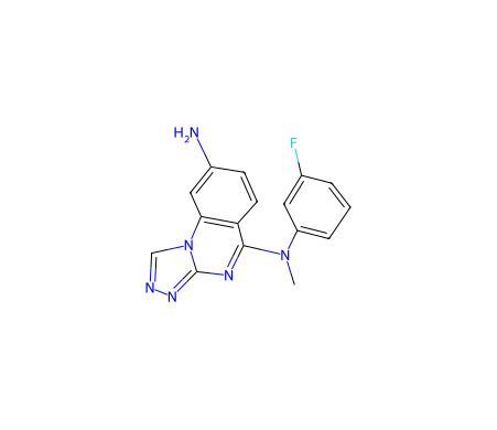 CN(c1cccc(F)c1)c1nc2nncn2c2cc(N)ccc12